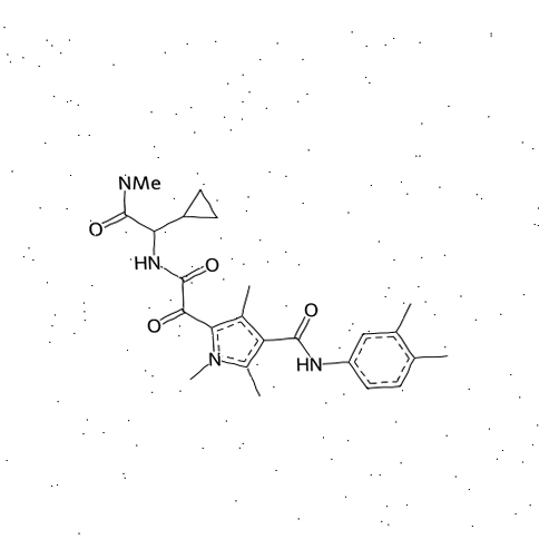 CNC(=O)C(NC(=O)C(=O)c1c(C)c(C(=O)Nc2ccc(C)c(C)c2)c(C)n1C)C1CC1